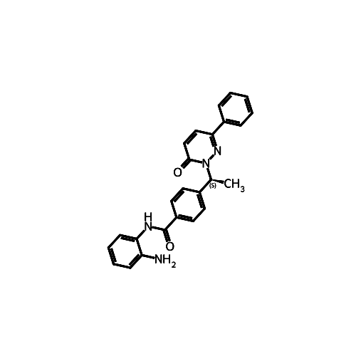 C[C@@H](c1ccc(C(=O)Nc2ccccc2N)cc1)n1nc(-c2ccccc2)ccc1=O